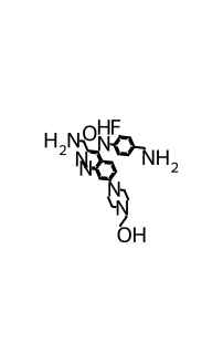 NCc1ccc(Nc2c(C(N)=O)nnc3cc(N4CCN(CCO)CC4)ccc23)c(F)c1